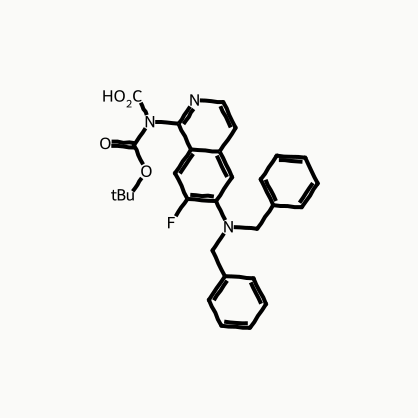 CC(C)(C)OC(=O)N(C(=O)O)c1nccc2cc(N(Cc3ccccc3)Cc3ccccc3)c(F)cc12